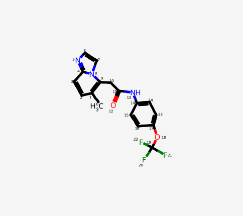 Cc1ccc2nccn2c1CC(=O)Nc1ccc(OC(F)(F)F)cc1